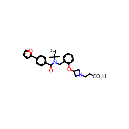 [2H]C(C)(C)N(Cc1ccccc1OC1CN(CCC(=O)O)C1)C(=O)c1ccc(-c2ccco2)cc1